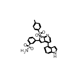 Cc1ccc(S(=O)(=O)n2c(-c3cccc(S(N)(=O)=O)c3)cc3c(-c4cccc5[nH]ccc45)ccnc32)cc1